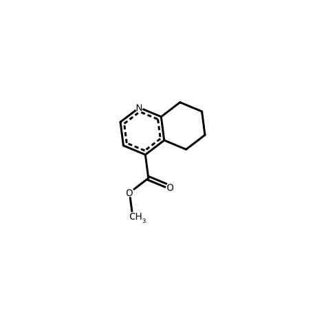 COC(=O)c1ccnc2c1CCCC2